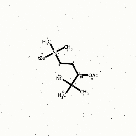 CC(=O)O[C@H](CC[Si](C)(C)C(C)(C)C)C(C)(C)C#N